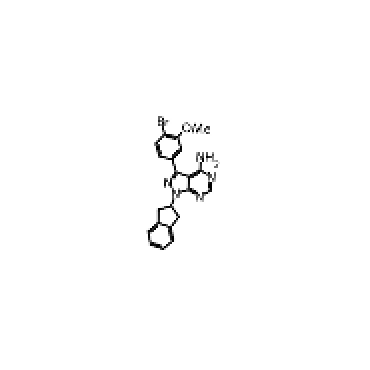 COc1cc(-c2nn(C3Cc4ccccc4C3)c3ncnc(N)c23)ccc1Br